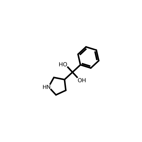 OC(O)(c1ccccc1)C1CCNC1